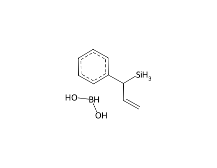 C=CC([SiH3])c1ccccc1.OBO